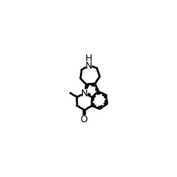 CC1CC(=O)c2cccc3c4c(n1c23)CCNCC4